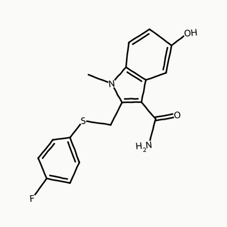 Cn1c(CSc2ccc(F)cc2)c(C(N)=O)c2cc(O)ccc21